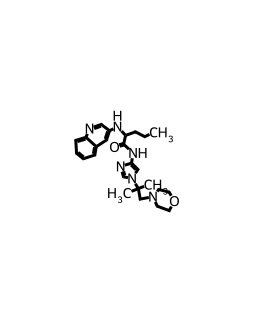 CCCC(Nc1cnc2ccccc2c1)C(=O)Nc1cn(C(C)(C)CN2CCOCC2)cn1